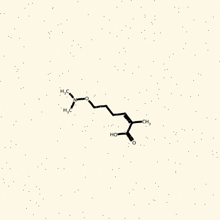 CC(=CCCCON(C)C)C(=O)O